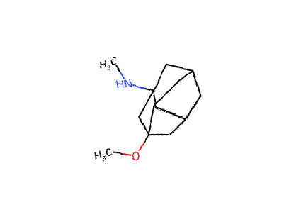 CNC12CC3CC(C1)CC(OC)(C3)C2